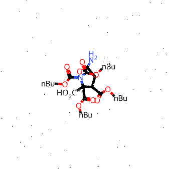 CCCCOC(=O)C(CC(N)=O)C(C(=O)O)(C(=O)OCCCC)N(C(=O)OCCCC)C(=O)OCCCC